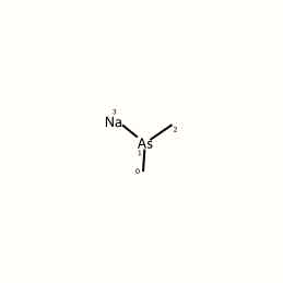 C[As](C)[Na]